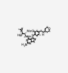 COc1cc(CNC2CCOCC2)ccc1Cn1ncc2nc(N)nc(NCC[C@@H](O)C3CC3)c21